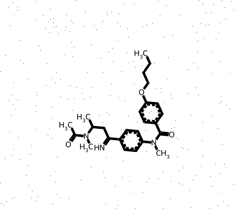 CCCCOc1ccc(C(=O)N(C)c2ccc(C(=N)CC(C)N(C)C(C)=O)cc2)cc1